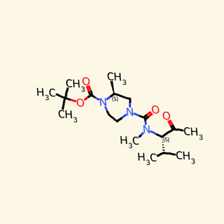 CC(=O)[C@H](C(C)C)N(C)C(=O)N1CCN(C(=O)OC(C)(C)C)[C@@H](C)C1